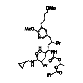 COCCCCc1cc(CC(C[C@H](NC(=O)OC(C)OC(=O)C(C)C)C(O)CC(C(=O)NCC2CC2)C(C)C)C(C)C)cnc1OC